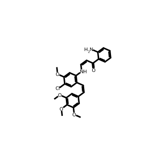 COc1cc(N/C=C\C(=O)c2ccccc2N)c(/C=C\c2cc(OC)c(OC)c(OC)c2)cc1Cl